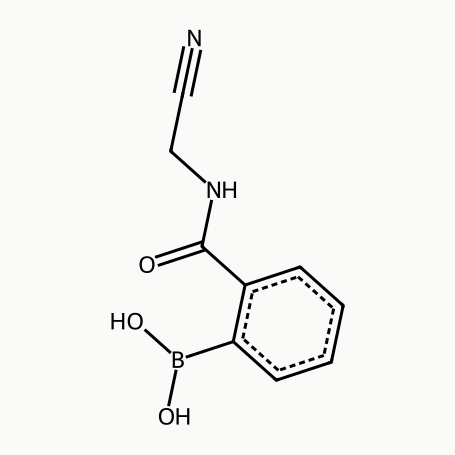 N#CCNC(=O)c1ccccc1B(O)O